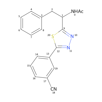 CC(=O)NC(Cc1ccccc1)c1nnc(-c2cccc(C#N)c2)s1